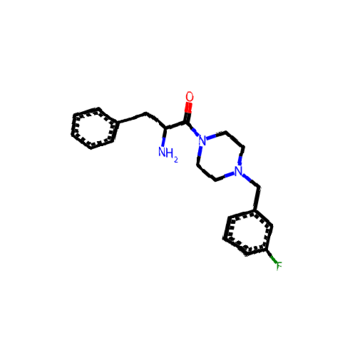 NC(Cc1ccccc1)C(=O)N1CCN(Cc2cccc(F)c2)CC1